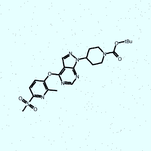 Cc1nc(S(C)(=O)=O)ccc1Oc1ncnc2c1cnn2C1CCN(C(=O)OC(C)(C)C)CC1